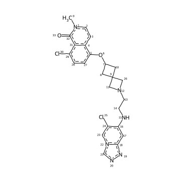 Cn1ccc2c(OC3CC4(C3)CN(CCNc3cc5nncn5cc3Cl)C4)ccc(Cl)c2c1=O